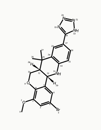 COc1cc(Br)cc2c1OC[C@H]1[C@@H]2Nc2ccc(-c3nnn[nH]3)cc2C1(C)C